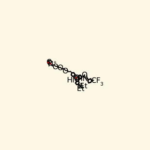 CCN(CC)c1ccc(NC(=O)c2ccc(CCCOCCOCCOCC[N+]34CCC(CC3)CC4)cc2)c(-c2cc(C(=O)NCc3cccc(C(F)(F)F)c3)ccn2)c1